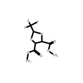 COC(=O)C1OC(C(F)(F)F)OC1C(=O)OC